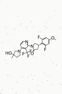 COc1cc(F)c([C@H]2CC(=O)N(c3nccc(N4CCC(C)(O)C4)c3C(F)(F)F)C2)c(F)c1